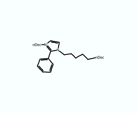 CCCCCCCCCCCCCCCn1cc[n+](CCCCCCCCCC)c1-c1ccccc1